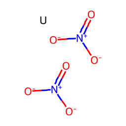 O=[N+]([O-])[O-].O=[N+]([O-])[O-].[U]